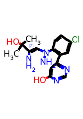 CC(C)(O)/C(N)=C/N(N)c1ccc(Cl)cc1-c1cc(O)ncn1